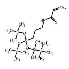 C=CC(=O)NCCC[Si](O[Si](C)(C)C)(O[Si](C)(C)C)O[Si](C)(C)[Si](C)(C)C